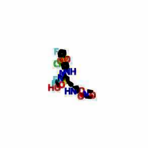 O=C(O)C(F)(F)F.O=C(O[C@@H]1CN[C@H](C#Cc2cc3c(Nc4ccc(S(=O)(=O)c5cccc(F)c5)c(Cl)c4)ncnc3s2)C1)N1CCOCC1